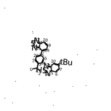 CC(C[SH]1N=c2ccc(C(C)(C)C)cc2=N1)c1ccc(-c2cccc3nsnc23)cc1